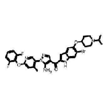 Cc1cc(Oc2c(F)cccc2F)ncc1-n1ncc(C(=O)c2cc3cc(OC4CCN(C(C)C)CC4)c(Br)cc3[nH]2)c1N